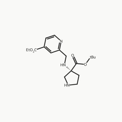 CCOC(=O)c1ccnc(CN[C@]2(C(=O)OC(C)(C)C)CCNC2)c1